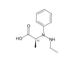 CCNN(c1ccccc1)[C@@H](C)C(=O)O